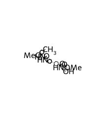 COC(=O)[C@@H](CO)NC(=O)[C@H]1CC[C@H](c2ccc(NC(=O)Nc3cc(C)ccc3OC)cc2)CC1